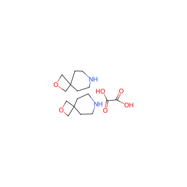 C1CC2(CCN1)COC2.C1CC2(CCN1)COC2.O=C(O)C(=O)O